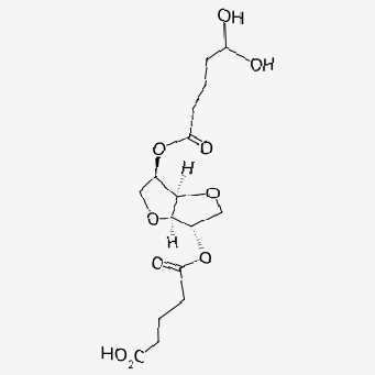 O=C(O)CCCC(=O)O[C@H]1CO[C@H]2[C@@H]1OC[C@H]2OC(=O)CCCC(O)O